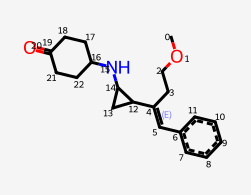 COCC/C(=C\c1ccccc1)C1CC1NC1CCC(=O)CC1